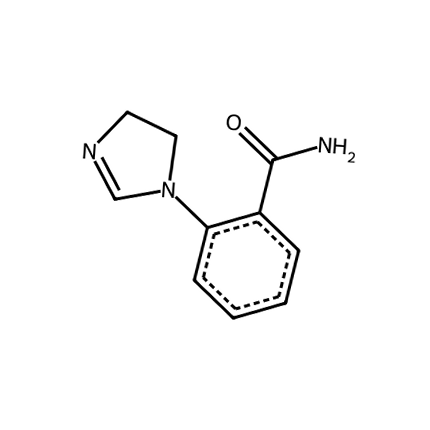 NC(=O)c1ccccc1N1C=NCC1